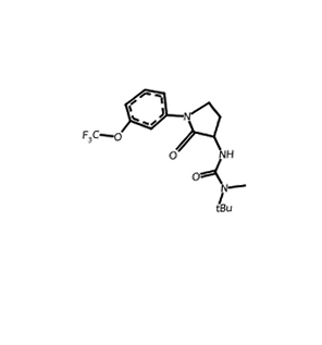 CN(C(=O)NC1CCN(c2cccc(OC(F)(F)F)c2)C1=O)C(C)(C)C